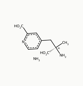 C[C@@](N)(Cc1ccnc(C(=O)O)c1)C(=O)O.N